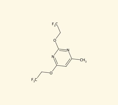 Cc1cc(OCC(F)(F)F)nc(OCC(F)(F)F)n1